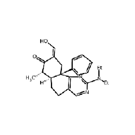 CCN(CC)c1ncc2c(n1)[C@@]1(c3ccccc3)C/C(=C/O)C(=O)[C@@H](C)[C@@H]1CC2